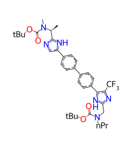 CCCN(Cc1nc(C(F)(F)F)c(-c2ccc(-c3ccc(-c4cnc([C@H](C)N(C)C(=O)OC(C)(C)C)[nH]4)cc3)cc2)[nH]1)C(=O)OC(C)(C)C